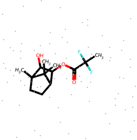 CC(F)(F)C(=O)OC1C2CCC(C)(C1O)C2(C)C